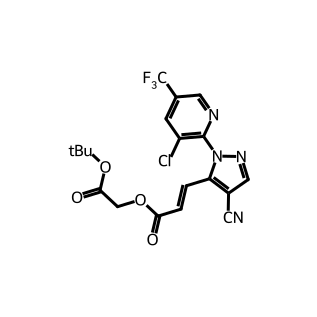 CC(C)(C)OC(=O)COC(=O)C=Cc1c(C#N)cnn1-c1ncc(C(F)(F)F)cc1Cl